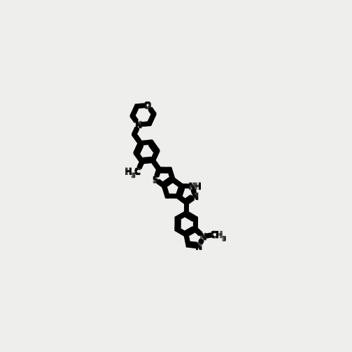 Cc1cc(CN2CCOCC2)ccc1-c1cc2c(s1)Cc1c(-c3ccc4cnn(C)c4c3)n[nH]c1-2